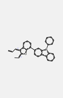 C=C/C=c1\c(=C/C)oc2c(-c3ccc4c5ccccc5n(-c5ccccc5)c4c3)cccc12